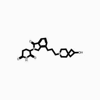 O=C1CCC(N2Cc3c(CCCN4CCC5(CC4)CC(O)C5)cccc3C2=O)C(=O)N1